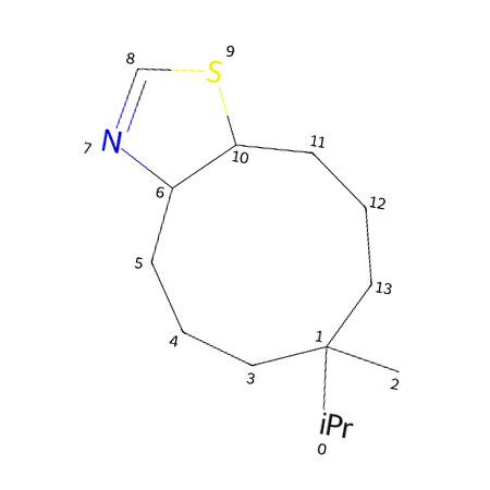 CC(C)C1(C)CCCC2N=CSC2CCC1